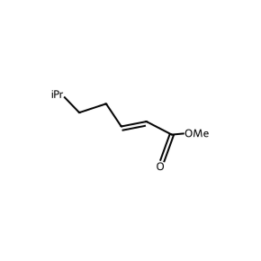 COC(=O)C=CCCC(C)C